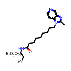 CCOC(=O)[C@H](CC(C)C)NC(=O)CCCCCCCCn1c(C)nc2cnccc21